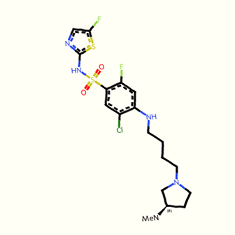 CN[C@@H]1CCN(CCCCNc2cc(F)c(S(=O)(=O)Nc3ncc(F)s3)cc2Cl)C1